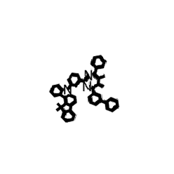 CC1=C(c2ccccc2)N=C(c2cccc(-n3c4ccccc4c4c5c(ccc43)-c3ccccc3C5(C)C)c2)N=C(c2cccc(-c3ccccc3)c2)C1C